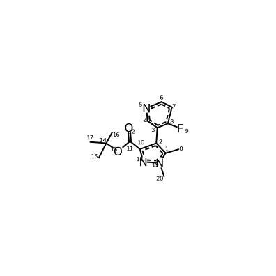 Cc1c(-c2cnccc2F)c(C(=O)OC(C)(C)C)nn1C